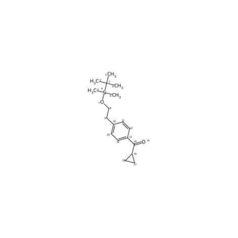 CC(C)(C)[Si](C)(C)OCCc1ccc(C(=O)C2CC2)cc1